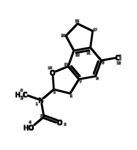 CN(C(=O)O)C1Cc2cc(Cl)c3c(c2O1)CCC3